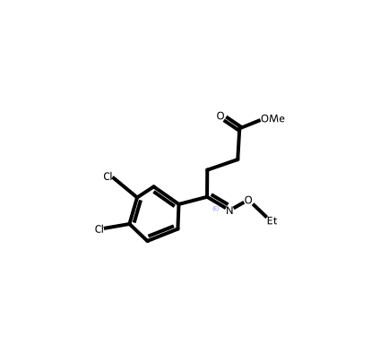 CCO/N=C(\CCC(=O)OC)c1ccc(Cl)c(Cl)c1